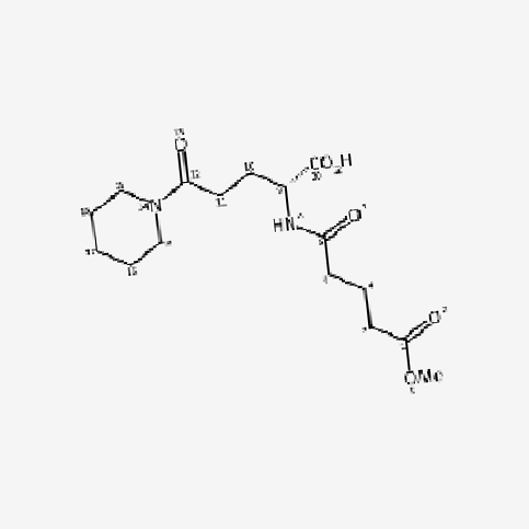 COC(=O)CCCC(=O)N[C@H](CCC(=O)N1CCCCC1)C(=O)O